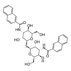 O=C(N[C@@H]1[C@@H](O)[C@@H](CO)O[C@@H](S[C@@H]2O[C@H](CO)[C@H](O)[C@@H](NC(=O)c3ccc4ccccc4c3)[C@H]2O)[C@@H]1O)c1ccc2ccccc2c1